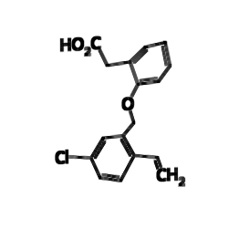 C=Cc1ccc(Cl)cc1COc1ccccc1CC(=O)O